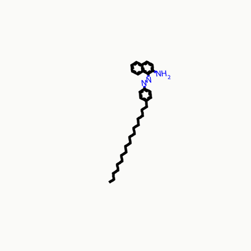 CCCCCCCCCCCCCCCCCCc1ccc(N=Nc2c(N)ccc3ccccc23)cc1